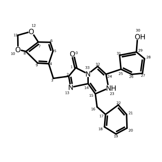 O=c1c(Cc2ccc3c(c2)OCO3)nc2c(Cc3ccccc3)[nH]c(-c3cccc(O)c3)cn1-2